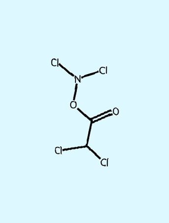 O=C(ON(Cl)Cl)C(Cl)Cl